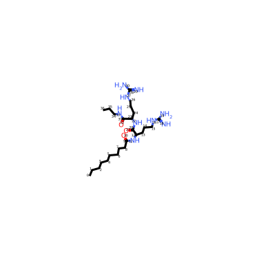 CCCCCCCCCC(=O)NC(CCCNC(=N)N)C(=O)NC(CCCNC(=N)N)C(=O)NCCC